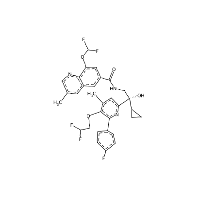 Cc1cnc2c(OC(F)F)cc(C(=O)NC[C@](O)(c3cc(C)c(OCC(F)F)c(-c4ccc(F)cc4)n3)C3CC3)cc2c1